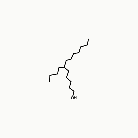 CCCCCCCC(CCCC)CCCCCO